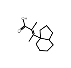 CC(C(=O)O)=C(C)C12CCCCC1CCC2